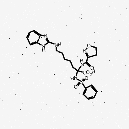 O=C(NC(CCCCCNc1nc2ccccc2[nH]1)(NS(=O)(=O)c1ccccc1)C(=O)O)C1=NOCC1